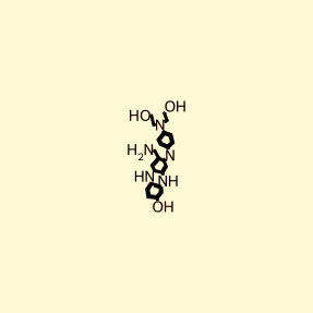 N=C1C=C(CN)/C(=N\c2ccc(N(CCO)CCO)cc2)C=C1Nc1cccc(O)c1